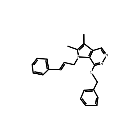 Cc1c(C)n(CC=Cc2ccccc2)c2c(OCc3ccccc3)nncc12